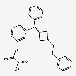 O=C(O)C(=O)O.c1ccc(CCN2CC(=C(c3ccccc3)c3ccccc3)C2)cc1